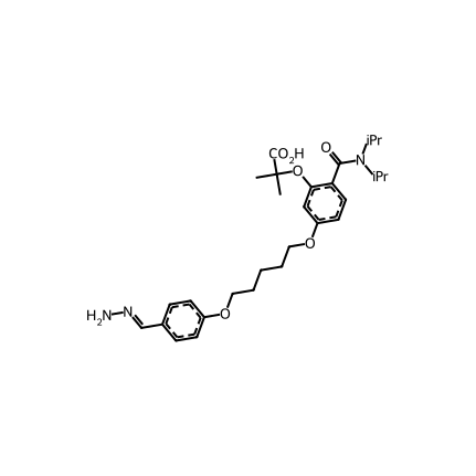 CC(C)N(C(=O)c1ccc(OCCCCCOc2ccc(C=NN)cc2)cc1OC(C)(C)C(=O)O)C(C)C